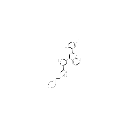 Fc1ccc(Cl)cc1-c1cc(-c2cncc(-c3cnn(CCN4CCOCC4)c3)c2)c2cccnc2n1